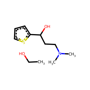 CCO.CN(C)CCC(O)c1cccs1